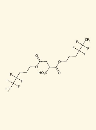 O=C(CC(C(=O)OCCCC(F)(F)C(F)(F)C(F)(F)F)S(=O)(=O)O)OCCCC(F)(F)C(F)(F)C(F)(F)F